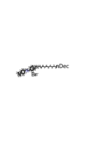 CCCCCCCCCCCCCCCCCCCCCC[n+]1ccc(/C=C/c2ccc(N(C)C)cc2)cc1.[Br-]